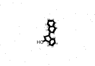 OC1CC(c2ccc3ccccc3c2)c2ccccc21